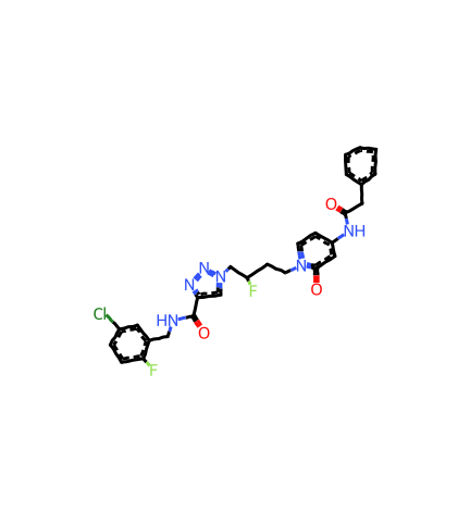 O=C(Cc1ccccc1)Nc1ccn(CCC(F)Cn2cc(C(=O)NCc3cc(Cl)ccc3F)nn2)c(=O)c1